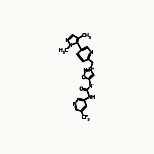 Cc1cnn(C)c1-c1ccc(C[n+]2cc([N-]C(=O)Nc3cncc(C(F)(F)F)c3)on2)nc1